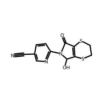 N#Cc1ccc(N2C(=O)C3=C(SCCS3)C2O)nc1